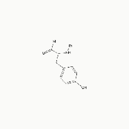 CCNC(Cc1ccc(O)cc1)C([NH])=O